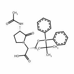 CC(=O)N[C@H]1CCN([C@H](CO[Si](c2ccccc2)(c2ccccc2)C(C)(C)C)C(=O)O)C1=O